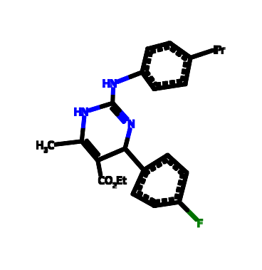 CCOC(=O)C1=C(C)NC(Nc2ccc(C(C)C)cc2)=NC1c1ccc(F)cc1